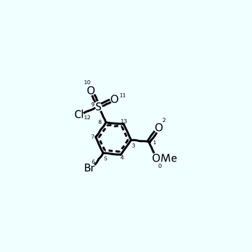 COC(=O)c1cc(Br)cc(S(=O)(=O)Cl)c1